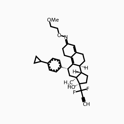 C#CC(F)(F)[C@]1(O)CC[C@H]2[C@@H]3CCC4=C/C(=N/OCCOC)CCC4=C3[C@@H](c3ccc(C4CC4)cc3)C[C@@]21C